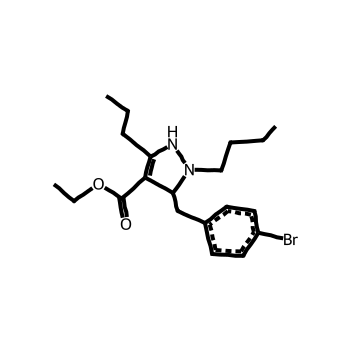 CCCCN1NC(CCC)=C(C(=O)OCC)C1Cc1ccc(Br)cc1